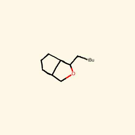 CC(C)(C)CC1OCC2CCCC21